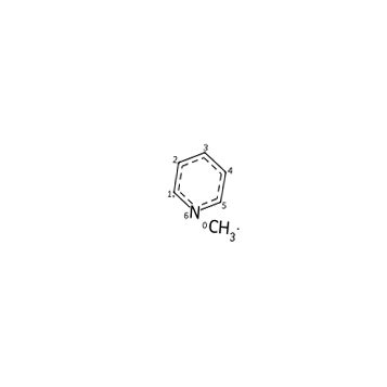 [CH3].[c]1ccccn1